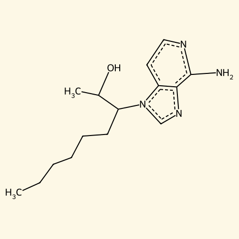 CCCCCCC(C(C)O)n1cnc2c(N)nccc21